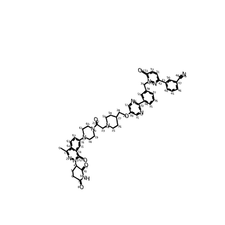 Cc1nn(C2CCC(=O)NC2=O)c(=O)c2cc(N3CCN(C(=O)CN4CCC(COc5cnc(-c6cccc(Cn7nc(-c8cccc(C#N)c8)ccc7=O)c6)nc5)CC4)CC3)ccc12